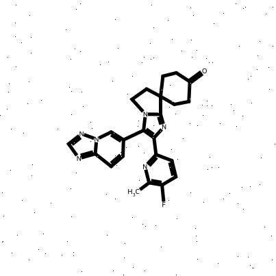 Cc1nc(-c2nc3n(c2-c2ccc4ncnn4c2)CCC32CCC(=O)CC2)ccc1F